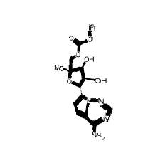 CC(C)OC(=O)OC[C@@]1(C#N)O[C@@H](c2ccc3c(N)ncnn23)[C@H](O)[C@@H]1O